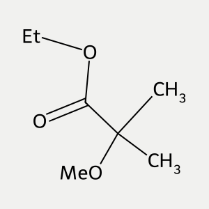 [CH2]COC(=O)C(C)(C)OC